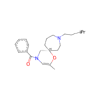 CC1=CN(C(=O)c2ccccc2)C[C@@]2(CCCN(CCC(C)C)CC2)O1